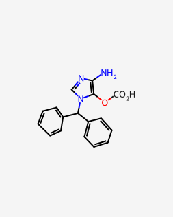 Nc1ncn(C(c2ccccc2)c2ccccc2)c1OC(=O)O